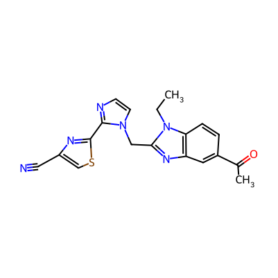 CCn1c(Cn2ccnc2-c2nc(C#N)cs2)nc2cc(C(C)=O)ccc21